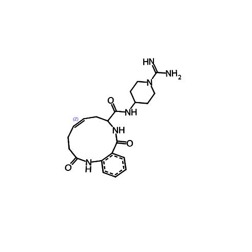 N=C(N)N1CCC(NC(=O)C2C/C=C\CCC(=O)Nc3ccccc3C(=O)N2)CC1